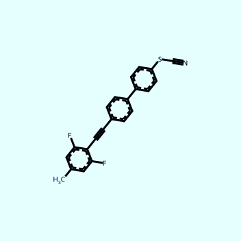 Cc1cc(F)c(C#Cc2ccc(-c3ccc(SC#N)cc3)cc2)c(F)c1